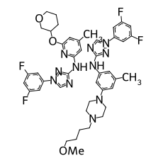 COCCCCN1CCN(c2cc(C)cc(Nc3ncn(-c4cc(F)cc(F)c4)n3)c2)CC1.Cc1cc(Nc2ncn(-c3cc(F)cc(F)c3)n2)nc(OC2CCCOC2)c1